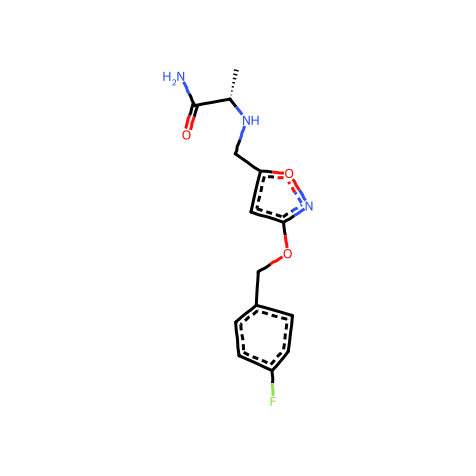 C[C@H](NCc1cc(OCc2ccc(F)cc2)no1)C(N)=O